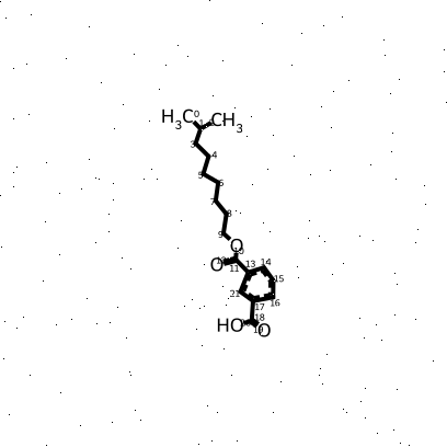 CC(C)CCCCCCCOC(=O)c1cccc(C(=O)O)c1